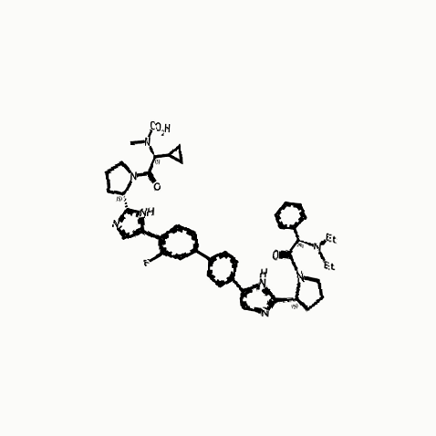 CCN(CC)[C@@H](C(=O)N1CCC[C@H]1c1ncc(-c2ccc(-c3ccc(-c4cnc([C@@H]5CCCN5C(=O)[C@H](C5CC5)N(C)C(=O)O)[nH]4)c(F)c3)cc2)[nH]1)c1ccccc1